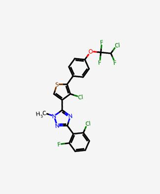 Cn1nc(-c2c(F)cccc2Cl)nc1-c1csc(-c2ccc(OC(F)(F)C(F)Cl)cc2)c1Cl